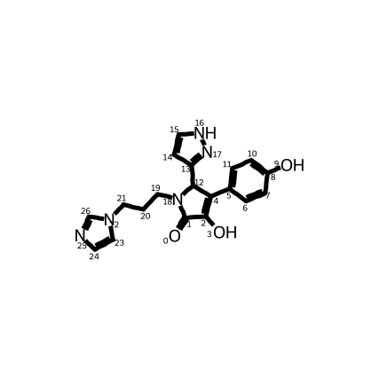 O=C1C(O)=C(c2ccc(O)cc2)C(c2cc[nH]n2)N1CCCn1ccnc1